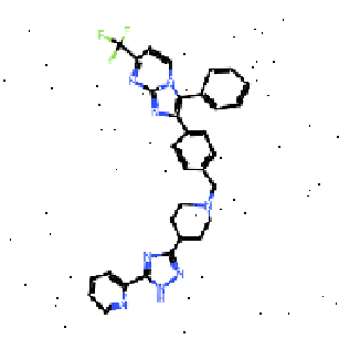 FC(F)(F)c1ccn2c(-c3ccccc3)c(-c3ccc(CN4CCC(c5n[nH]c(-c6ccccn6)n5)CC4)cc3)nc2n1